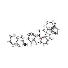 O=C(N[C@H](Cc1ccc(Cl)cc1)C(=O)N1CCC(Cc2nc[nH]n2)(C2CCCCC2)CC1)[C@H]1Cc2ccccc2CN1